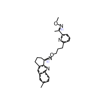 CO/N=C(\C)c1cccc(CCCO/N=C2\CCCc3cc4cc(C)ccc4nc32)n1